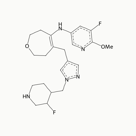 COc1ncc(NC2=C(Cc3cnn(CC4CCNCC4F)c3)CCOCC2)cc1F